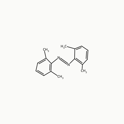 Cc1cccc(C)c1N=Nc1c(C)cccc1C